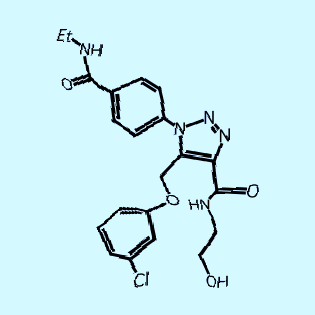 CCNC(=O)c1ccc(-n2nnc(C(=O)NCCO)c2COc2cccc(Cl)c2)cc1